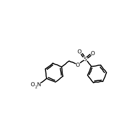 O=[N+]([O-])c1ccc(COS(=O)(=O)c2ccccc2)cc1